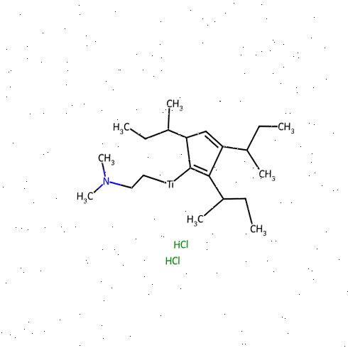 CCC(C)C1=CC(C(C)CC)[C]([Ti][CH2]CN(C)C)=C1C(C)CC.Cl.Cl